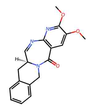 COc1cc2c(nc1OC)N=C[C@@H]1Cc3ccccc3CN1C2=O